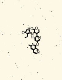 CCC1=C(NC(C(=O)O)C(CC)c2ccc(Oc3nc(C)cc4ccncc34)cn2)CCC1=O